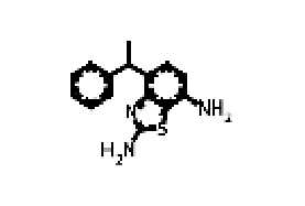 CC(c1ccccc1)c1ccc(N)c2sc(N)nc12